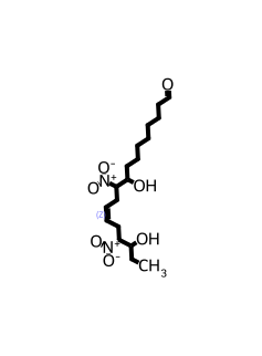 CCC(O)C(C/C=C\CC(C(O)CCCCCCCC=O)[N+](=O)[O-])[N+](=O)[O-]